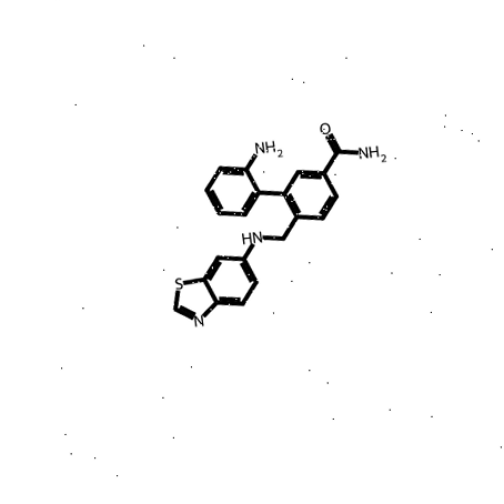 NC(=O)c1ccc(CNc2ccc3ncsc3c2)c(-c2ccccc2N)c1